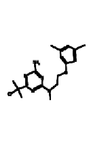 Cc1cc(C)cc(OCCN(C)c2nc(N)nc(C(C)(C)Cl)n2)c1